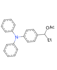 CCC(OC(C)=O)c1ccc(N(c2ccccc2)c2ccccc2)cc1